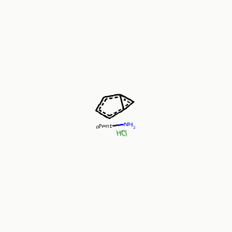 CCCCCN.Cl.c1cc2cc-2c1